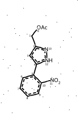 CC(=O)OCc1cc(-c2ccccc2[N+](=O)[O-])[nH]n1